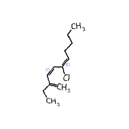 C=C(/C=C\C(Cl)=C/CCCC)CC